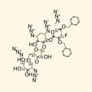 [N-]=[N+]=NC[C@@H]1O[C@H](O[C@H]2[C@@H](O)[C@H](O[C@H]3[C@H](O[C@H]4O[C@H](CN=[N+]=[N-])[C@@H](OCc5ccccc5)[C@H](F)[C@H]4OCc4ccccc4)C(N=[N+]=[N-])CC(N=[N+]=[N-])[C@@H]3O)O[C@@H]2CCO)C(N=[N+]=[N-])[C@@H](O)[C@@H]1O